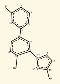 Cc1cccc(-c2ccc(C)c(-n3ccc(C)n3)c2)c1